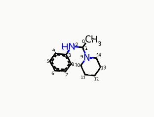 CC(Nc1ccccc1)N1CCCCC1